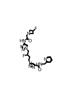 O=C(CN1CC(F)C1)Nc1cn(CC(F)CCn2cc(C(=O)NCc3ccccn3)nn2)nn1